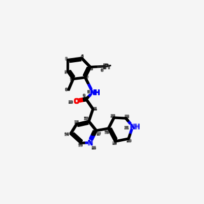 Cc1cccc(C(C)C)c1NC(=O)Cc1cccnc1C1=CCNCC1